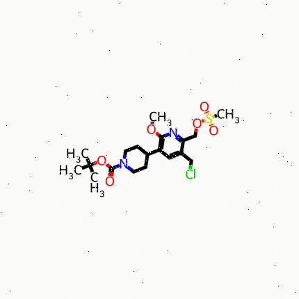 COc1nc(COS(C)(=O)=O)c(CCl)cc1C1CCN(C(=O)OC(C)(C)C)CC1